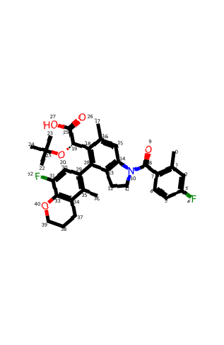 Cc1cc(F)ccc1C(=O)N1CCc2c1cc(C)c([C@H](OC(C)(C)C)C(=O)O)c2-c1cc(F)c2c(c1C)CCCO2